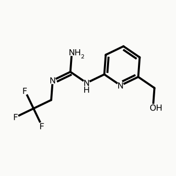 N/C(=N/CC(F)(F)F)Nc1cccc(CO)n1